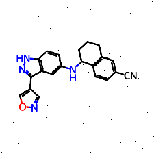 N#Cc1ccc2c(c1)CCC[C@@H]2Nc1ccc2[nH]nc(-c3cnoc3)c2c1